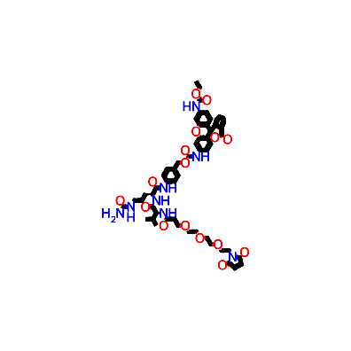 CCOC(=O)Nc1ccc2c(c1)Oc1cc(NC(=O)OCc3ccc(NC(=O)[C@H](CCCNC(N)=O)NC(=O)[C@@H](NC(=O)CCOCCOCCOCCN4C(=O)C=CC4=O)C(C)C)cc3)ccc1C21OC(=O)c2ccccc21